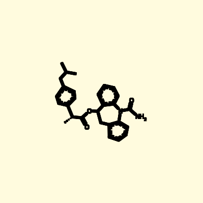 CC(C)Cc1ccc([C@@H](C)C(=O)OC2Cc3ccccc3N(C(N)=O)c3ccccc32)cc1